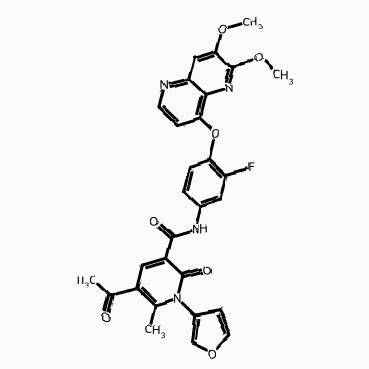 COc1cc2nccc(Oc3ccc(NC(=O)c4cc(C(C)=O)c(C)n(-c5ccoc5)c4=O)cc3F)c2nc1OC